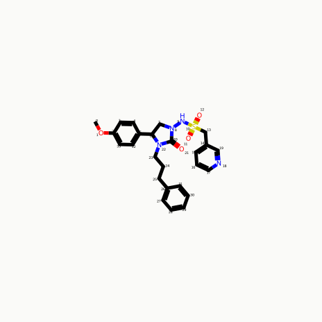 COc1ccc(C2CN(NS(=O)(=O)Cc3cccnc3)C(=O)N2CCCc2ccccc2)cc1